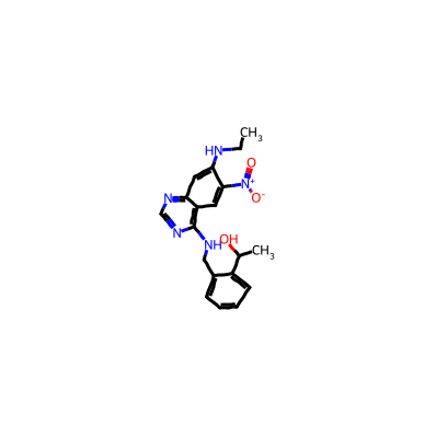 CCNc1cc2ncnc(NCc3ccccc3C(C)O)c2cc1[N+](=O)[O-]